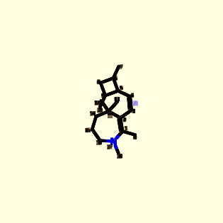 CC1=C(/C=C\C2C(C)CC2C)C(C)(C)CCCN1C